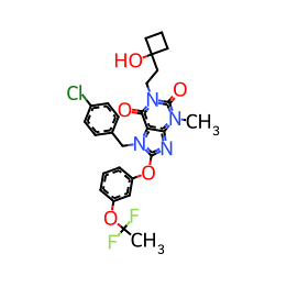 Cn1c(=O)n(CCC2(O)CCC2)c(=O)c2c1nc(Oc1cccc(OC(C)(F)F)c1)n2Cc1ccc(Cl)cc1